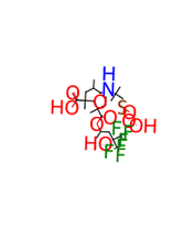 CCC(C)(CC(C)(CC(C)C(=O)NC(C)(C)CSOOO)C(=O)O)C(=O)OC(C)CC(O)(C(F)(F)F)C(F)(F)F